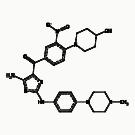 CN1CCN(c2ccc(Nc3nc(N)c(C(=O)c4ccc(N5CCC(O)CC5)c([N+](=O)[O-])c4)s3)cc2)CC1